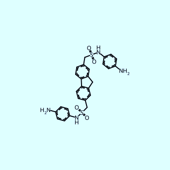 Nc1ccc(NS(=O)(=O)Cc2ccc3c(c2)Cc2cc(CS(=O)(=O)Nc4ccc(N)cc4)ccc2-3)cc1